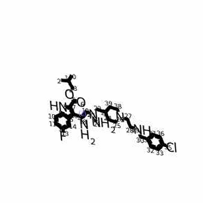 CC(C)COC(=O)c1[nH]c2ccc(F)cc2c1/C(N)=C/N(N)CC1CCN(CCNCc2ccc(Cl)cc2)CC1